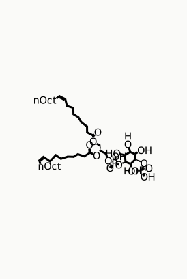 CCCCCCCC/C=C\CCCCCCCC(=O)OC[C@H](COP(=O)(O)O[C@H]1C(O)C(O)C(O)[C@@H](OP(=O)(O)O)C1O)OC(=O)CCCCCCC/C=C\CCCCCCCC